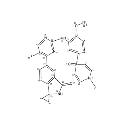 CN1C=CP(=O)(c2ccc(OC(F)(F)F)c(Nc3ncc(F)c(-c4ccc5c(c4)C(=O)NC54CC4)n3)c2)C=C1